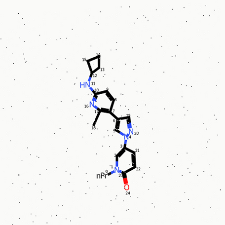 CCCn1cc(-n2cc(-c3ccc(NC4CCC4)nc3C)cn2)ccc1=O